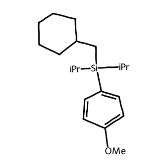 COc1ccc([Si](CC2CCCCC2)(C(C)C)C(C)C)cc1